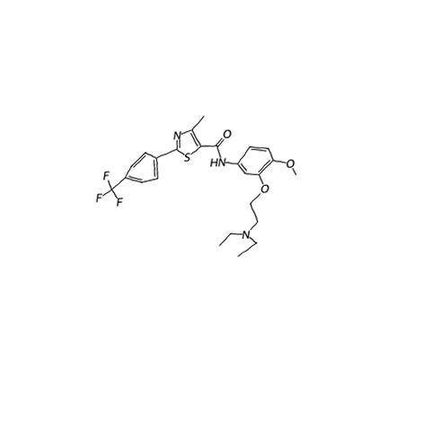 CCN(CC)CCOc1cc(NC(=O)c2sc(-c3ccc(C(F)(F)F)cc3)nc2C)ccc1OC